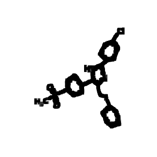 CS(=O)(=O)c1ccc(-c2[nH]c(-c3ccc(Cl)cc3)nc2CSc2ccccc2)cc1